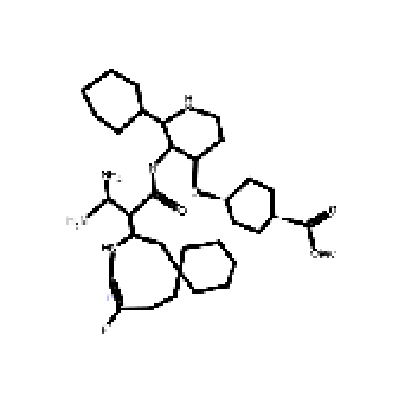 COC(=O)[C@H]1CC[C@@H](OC2CCNC(C3CCCCC3)C2NC(=O)C(C(N)N)C2CC3(CCCCC3)CC/C(F)=C\N2)CC1